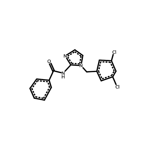 O=C(Nc1nccn1Cc1cc(Cl)cc(Cl)c1)c1ccccc1